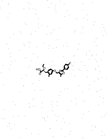 CCO[C@@H](Cc1ccc(OCc2nc(-c3ccc(F)cc3)oc2C)cc1C)C(=O)O